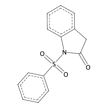 O=C1Cc2ccccc2N1S(=O)(=O)c1ccccc1